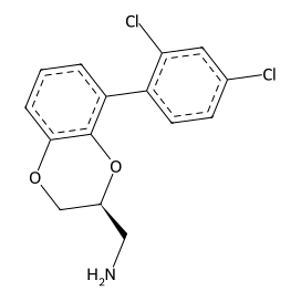 NC[C@H]1COc2cccc(-c3ccc(Cl)cc3Cl)c2O1